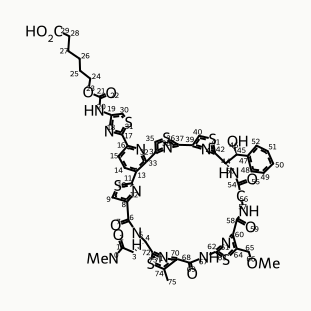 CNC(=O)C[C@@H]1NC(=O)c2csc(n2)-c2ccc(-c3nc(NC(=O)OCCCCCC(=O)O)cs3)nc2-c2csc(n2)-c2csc(n2)[C@H]([C@@H](O)c2ccccc2)NC(=O)CNC(=O)c2nc(sc2COC)NC(=O)c2nc1sc2C